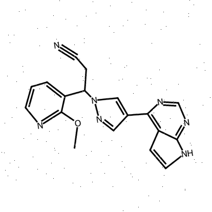 COc1ncccc1C(CC#N)n1cc(-c2ncnc3[nH]ccc23)cn1